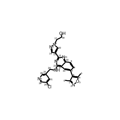 Cc1noc(C)c1-c1ccc2nc(-c3cnn(CCO)c3)nc(NCc3cncc(Cl)c3)c2c1